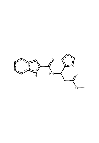 COC(=O)CC(NC(=O)c1cc2cccc(C)c2[nH]1)c1cccs1